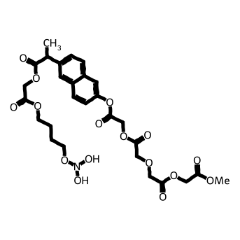 COC(=O)COC(=O)COCC(=O)OCC(=O)Oc1ccc2cc(C(C)C(=O)OCC(=O)OCCCCON(O)O)ccc2c1